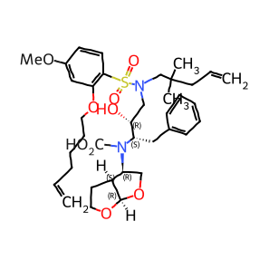 C=CCCCCOc1cc(OC)ccc1S(=O)(=O)N(C[C@@H](O)[C@H](Cc1ccccc1)N(C(=O)O)[C@H]1CO[C@H]2OCC[C@H]21)CC(C)(C)CC=C